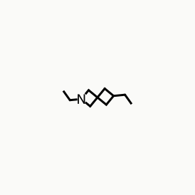 CCC1CC2(C1)CN(CC)C2